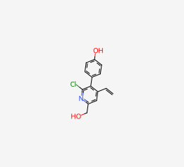 C=Cc1cc(CO)nc(Cl)c1-c1ccc(O)cc1